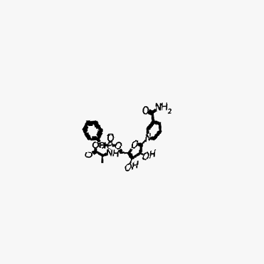 C[C@H](NP(=O)(OC[C@H]1O[C@@H](N2C=CCC(C(N)=O)=C2)[C@H](O)[C@@H]1O)Oc1ccccc1)C(=O)O